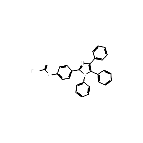 O=C(Oc1ccc(-c2nc(-c3ccccc3)c(-c3ccccc3)n2-c2ccccc2)cc1)C(F)(F)F